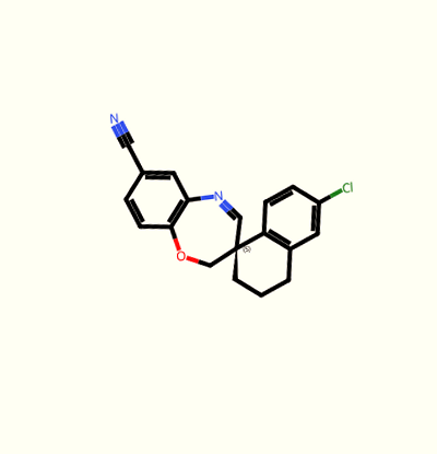 N#Cc1ccc2c(c1)N=C[C@@]1(CCCc3cc(Cl)ccc31)CO2